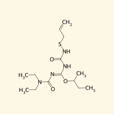 C=CCSNC(=O)NC(=NC(=O)N(CC)CC)OC(C)CC